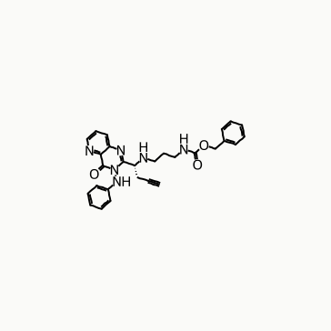 C#CC[C@@H](NCCCNC(=O)OCc1ccccc1)c1nc2cccnc2c(=O)n1Nc1ccccc1